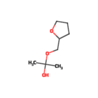 CC(C)(O)OCC1CCCO1